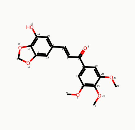 COc1cc(C(=O)C=Cc2cc(O)c3c(c2)OCO3)cc(OC)c1OC